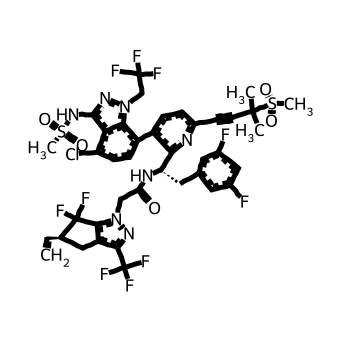 C=C[C@@H]1Cc2c(C(F)(F)F)nn(CC(=O)N[C@@H](Cc3cc(F)cc(F)c3)c3nc(C#CC(C)(C)S(C)(=O)=O)ccc3-c3ccc(Cl)c4c(NS(C)(=O)=O)nn(CC(F)(F)F)c34)c2C1(F)F